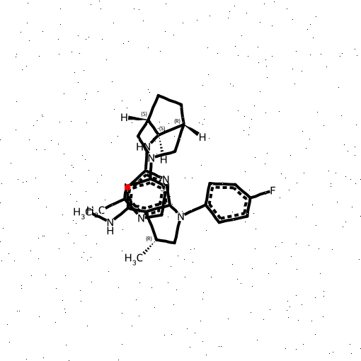 CNc1nc(N[C@@H]2[C@@H]3CC[C@H]2CN(c2cc(C)ncn2)C3)nc2c1[C@@H](C)CN2c1ccc(F)cc1